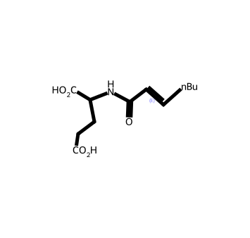 CCCC/C=C/C(=O)NC(CCC(=O)O)C(=O)O